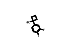 OC1(c2ccc(F)c(F)c2)CCC1